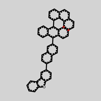 c1ccc2c(c1)ccc1cccc(-c3c4ccccc4c(-c4ccc5cc(-c6ccc7oc8ccccc8c7c6)ccc5c4)c4ccccc34)c12